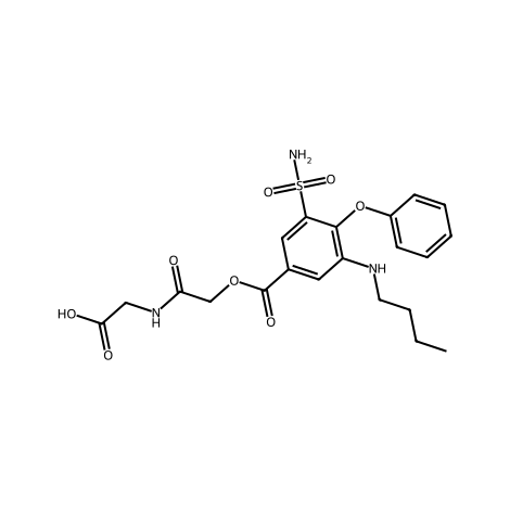 CCCCNc1cc(C(=O)OCC(=O)NCC(=O)O)cc(S(N)(=O)=O)c1Oc1ccccc1